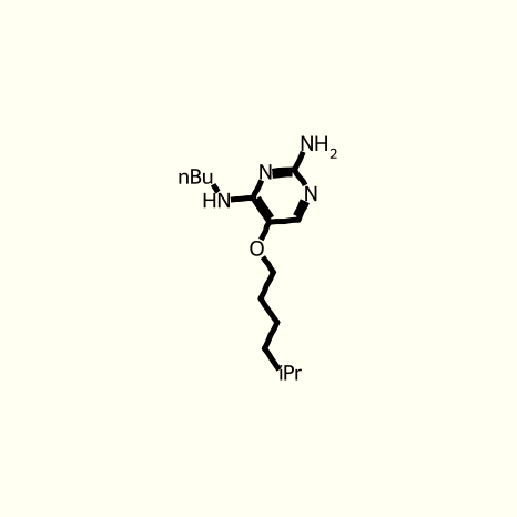 CCCCNc1nc(N)ncc1OCCCCC(C)C